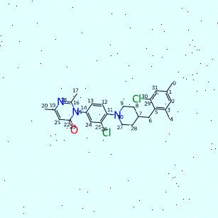 Cc1cc(C)c(CC2CCN(c3ccc(-n4c(C)nc(C)cc4=O)cc3Cl)CC2)c(Cl)c1